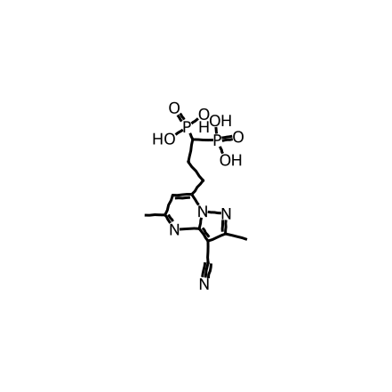 Cc1cc(CCC(P(=O)(O)O)P(=O)(O)O)n2nc(C)c(C#N)c2n1